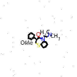 COc1ccccc1C1CSc2ccccc2N(CCN(C)C)C1=O